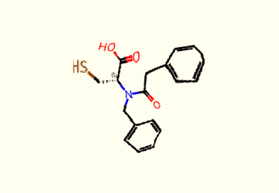 O=C(O)[C@@H](CS)N(Cc1ccccc1)C(=O)Cc1ccccc1